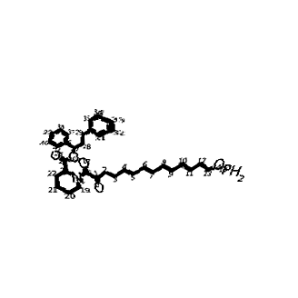 O=C(CCCCCCCCCCCCOP)C(=O)N1CCCCC1C(=O)OC(CCc1ccccc1)c1ccccc1